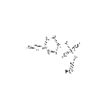 C#CCS(=O)(=O)Cc1ccc(C#N)cc1